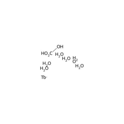 O.O.O.O.O.O.O=C(O)O.[Tb]